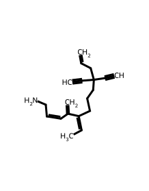 C#CC(C#C)(CC=C)CCC/C(=C/C)C(=C)/C=C\CN